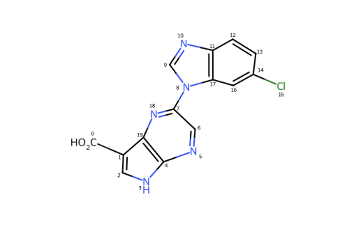 O=C(O)c1c[nH]c2ncc(-n3cnc4ccc(Cl)cc43)nc12